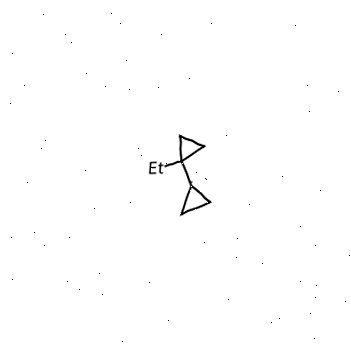 CCC1([C]2CC2)CC1